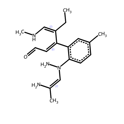 CCC(=C/NC)/C(=C\C=O)c1cc(C)ccc1N(N)/C=C(/C)N